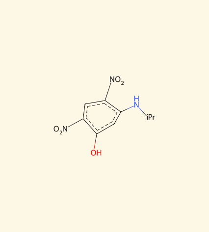 CC(C)Nc1cc(O)c([N+](=O)[O-])cc1[N+](=O)[O-]